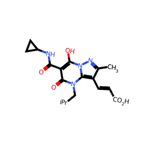 Cc1nn2c(O)c(C(=O)NC3CC3)c(=O)n(CC(C)C)c2c1/C=C/C(=O)O